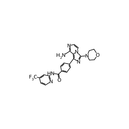 Nc1nccn2c(N3CCOCC3)nc(-c3ccc(C(=O)Nc4cc(C(F)(F)F)ccn4)cc3)c12